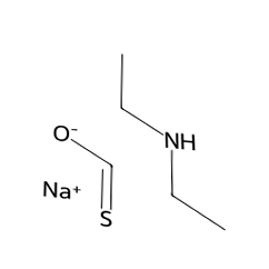 CCNCC.[Na+].[O-]C=S